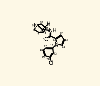 O=C(N[C@H]1CN2CCC1CC2)c1cccn1-c1cccc(Cl)c1